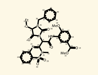 CCOC1C(=O)N(C(C(=O)Nc2cc(C(=O)OC)ccc2OC)C2=Nc3ccccc3S(=O)(=O)N2C)C(=O)N1Cc1ccccc1